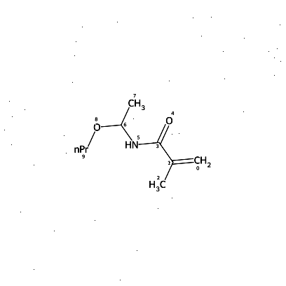 C=C(C)C(=O)NC(C)OCCC